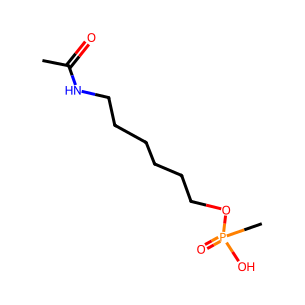 CC(=O)NCCCCCCOP(C)(=O)O